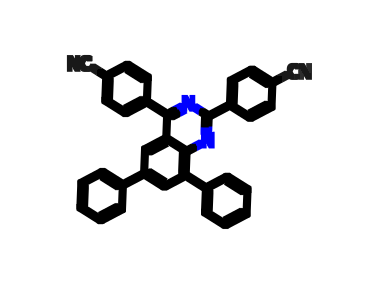 N#Cc1ccc(-c2nc(-c3ccc(C#N)cc3)c3cc(-c4ccccc4)cc(-c4ccccc4)c3n2)cc1